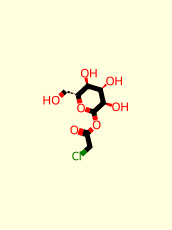 O=C(CCl)OC1O[C@H](CO)[C@@H](O)[C@H](O)[C@H]1O